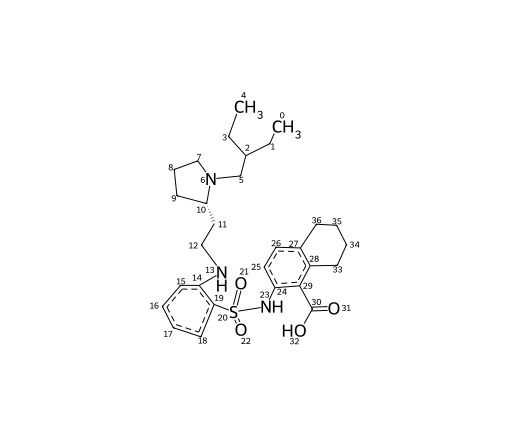 CCC(CC)CN1CCC[C@H]1CCNc1ccccc1S(=O)(=O)Nc1ccc2c(c1C(=O)O)CCCC2